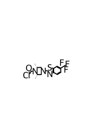 C[C@@H]1CN(c2nc3ccc(C(F)(F)F)cc3s2)C[C@H](C)N1C(=O)Cl